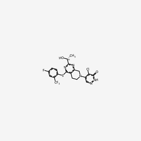 C[C@@H](O)c1nc2c(c(Sc3ccc(F)cc3C(F)(F)F)n1)CCN(c1cn[nH]c(=O)c1Cl)C2